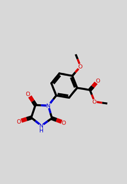 COC(=O)c1cc(N2C(=O)NC(=O)C2=O)ccc1OC